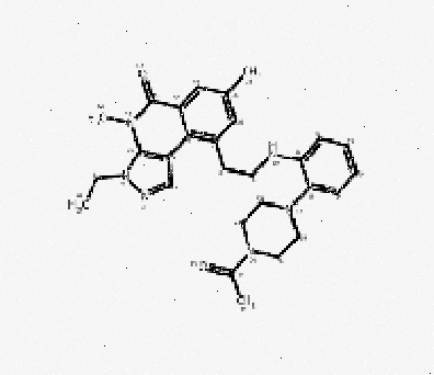 CCn1ncc2c3c(CCNc4ccccc4N4CCN(C(C)=O)CC4)cc(C)cc3c(=O)n(C)c21